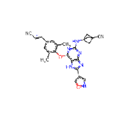 Cc1cc(/C=C/C#N)cc(C)c1Oc1nc(NC23CC(C#N)(C2)C3)nc2nc(-c3cnoc3)[nH]c12